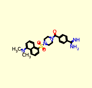 CN(C)c1cccc2c(S(=O)(=O)N3CCN(C(=O)c4ccc(C(=N)N)cc4)CC3)cccc12